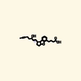 CC#CCCC(O)/C=C/C1CCC2Oc3c(CCCC(=O)O)cccc3C12